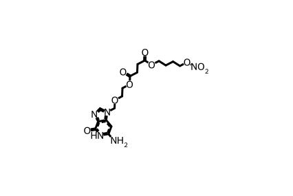 Nc1cc2c(ncn2COCCOC(=O)CCC(=O)OCCCCO[N+](=O)[O-])c(=O)[nH]1